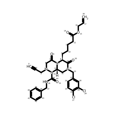 C#CCN1CC(=O)N2[C@@H](CCCCC(=O)OCC=C)C(=O)N(Cc3ccc(Cl)c(Cl)c3)C[C@@H]2N1C(=O)NCc1ccccc1